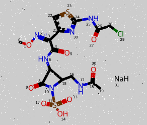 CO/N=C(\C(=O)NC1C(=O)N(S(=O)(=O)O)C1CNC(C)=O)c1csc(NC(=O)CCl)n1.[NaH]